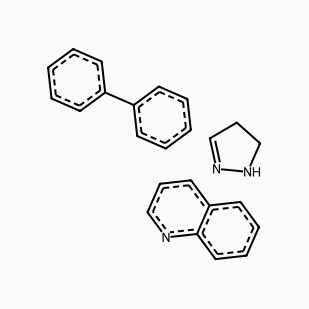 C1=NNCC1.c1ccc(-c2ccccc2)cc1.c1ccc2ncccc2c1